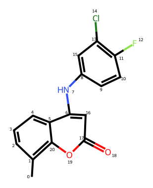 Cc1cccc2c(Nc3ccc(F)c(Cl)c3)cc(=O)oc12